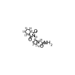 Cc1ccc(CN2C(=O)c3ccccc3C2=O)n1CC(N)=O